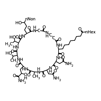 CCCCCCCCCC(O)CCC1NC(=O)C(C(C)O)NC(=O)C(C(C)O)NC(=O)C(CC(O)C(N)=O)NC(=O)C(C)NC(=O)C(CC(N)=O)NC(=O)C(CC(N)=O)NC(=O)C(CCCCCCCC(=O)CCCCCC)NC(=O)CCNC(=O)CNC1=O